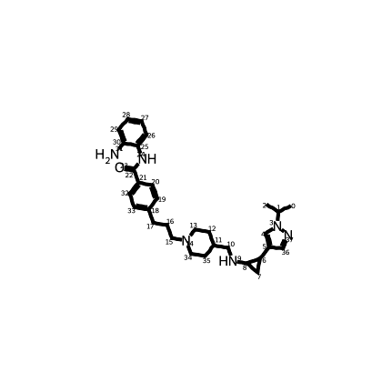 CC(C)n1cc(C2CC2NCC2CCN(CCCc3ccc(C(=O)Nc4ccccc4N)cc3)CC2)cn1